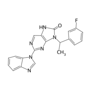 CC(c1cccc(F)c1)n1c(=O)[nH]c2cnc(-n3cnc4ccccc43)nc21